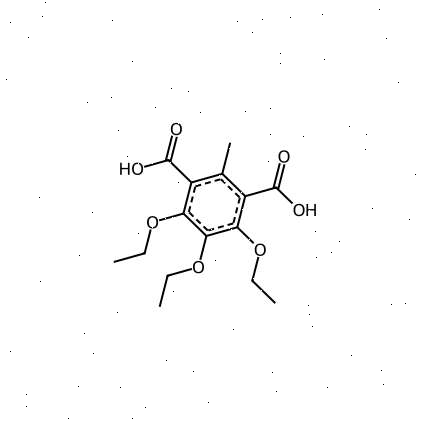 CCOc1c(OCC)c(C(=O)O)c(C)c(C(=O)O)c1OCC